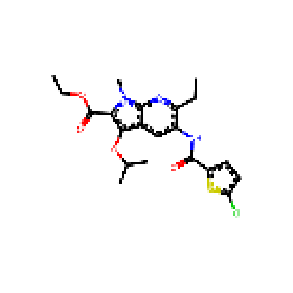 CCOC(=O)c1c(OC(C)C)c2cc(NC(=O)c3ccc(Cl)s3)c(CC)nc2n1C